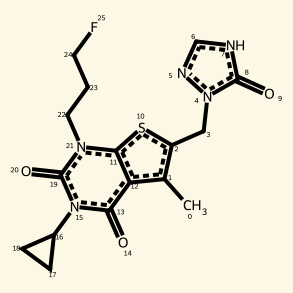 Cc1c(Cn2nc[nH]c2=O)sc2c1c(=O)n(C1CC1)c(=O)n2CCCF